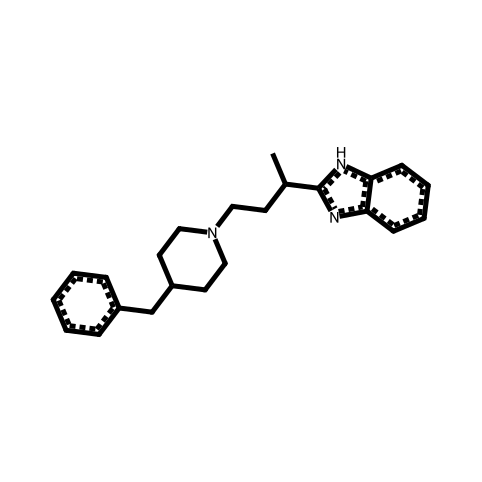 CC(CCN1CCC(Cc2ccccc2)CC1)c1nc2ccccc2[nH]1